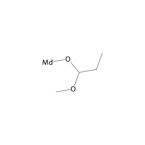 CCC(OC)[O][Md]